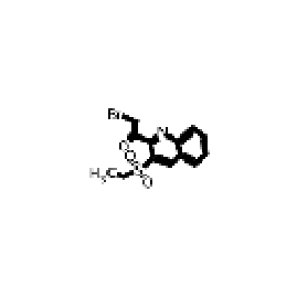 CCS(=O)(=O)c1cc2ccccc2nc1C(=O)CBr